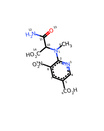 CN(c1ncc(C(=O)O)cc1[N+](=O)[O-])C(C(N)=O)C(=O)O